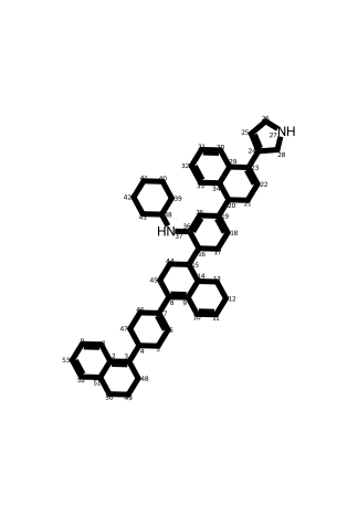 C1=CC2=C(C3CC=C(C4=C5C=CCCC5C(C5CC=C(C6CC=C(C7=CCNC7)C7C=CC=CC76)C=C5NC5CCCCC5)CC4)CC3)CCCC2C=C1